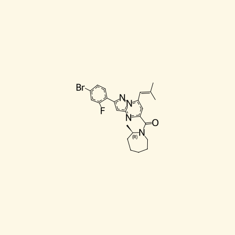 CC(C)=Cc1cc(C(=O)N2CCCCC[C@H]2C)nc2cc(-c3ccc(Br)cc3F)nn12